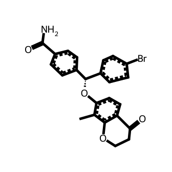 Cc1c(O[C@@H](c2ccc(Br)cc2)c2ccc(C(N)=O)cc2)ccc2c1OCCC2=O